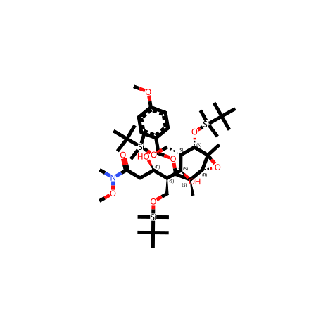 COc1ccc(COC[C@H](C)[C@H]2OC2(C)[C@@H](O[Si](C)(C)C(C)(C)C)[C@@H](CO[Si](C)(C)C(C)(C)C)[C@@H](O)[C@@H](CO[Si](C)(C)C(C)(C)C)[C@H](O)CC(=O)N(C)OC)cc1